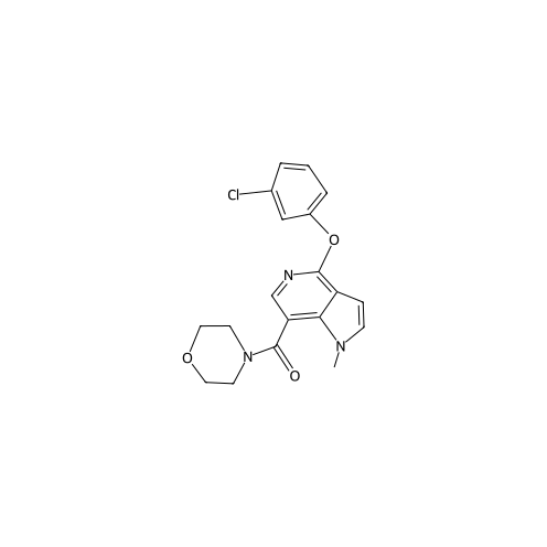 Cn1ccc2c(Oc3cccc(Cl)c3)ncc(C(=O)N3CCOCC3)c21